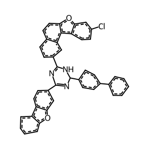 Clc1ccc2c(c1)oc1ccc3ccc(C4=NC(c5ccc6c(c5)oc5ccccc56)=NC(c5ccc(-c6ccccc6)cc5)N4)cc3c12